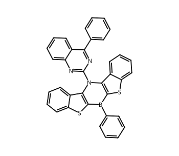 c1ccc(B2c3sc4ccccc4c3N(c3nc(-c4ccccc4)c4ccccc4n3)c3c2sc2ccccc32)cc1